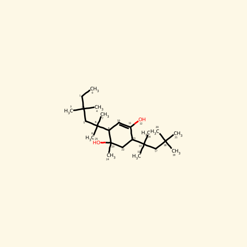 CCC(C)(C)CC(C)(C)C1C=C(O)C(C(C)(C)CC(C)(C)C)CC1(C)O